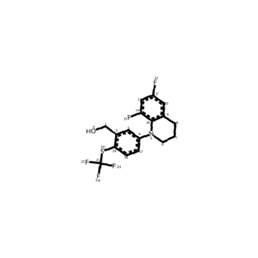 OCc1cc(N2CCCc3cc(F)cc(F)c32)ccc1SC(F)(F)F